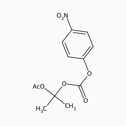 CC(=O)OC(C)(C)OC(=O)Oc1ccc([N+](=O)[O-])cc1